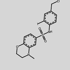 CN1CCOc2ccc(S(=O)(=O)Nc3ccc(CCl)cc3I)cc21